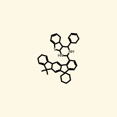 CC1(C)C2=CCCC=C2C2C=C3C(=CC21)C1(CCCCC1)c1cccc(C2NC4SC5=CC=CCC5C4C(C4=CC=CCC4)N2)c13